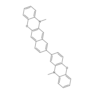 CN1c2ccccc2Oc2ccc(-c3ccc4cc5c(cc4c3)N(C)c3ccccc3O5)cc21